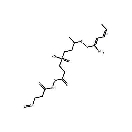 C/C=C\C=C(/N)SSC(C)CCP(=O)(O)CCC(=O)ONC(=O)CCN=O